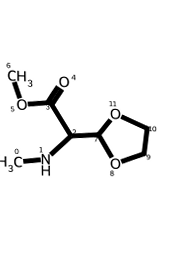 CNC(C(=O)OC)C1OCCO1